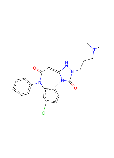 CN(C)CCCN1NC2=CC(=O)N(c3ccccc3)c3cc(Cl)ccc3N2C1=O